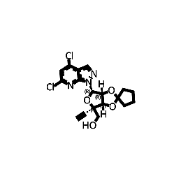 C#C[C@]1(CO)O[C@@H](n2ncc3c(Cl)cc(Cl)nc32)[C@@H]2OC3(CCCC3)O[C@@H]21